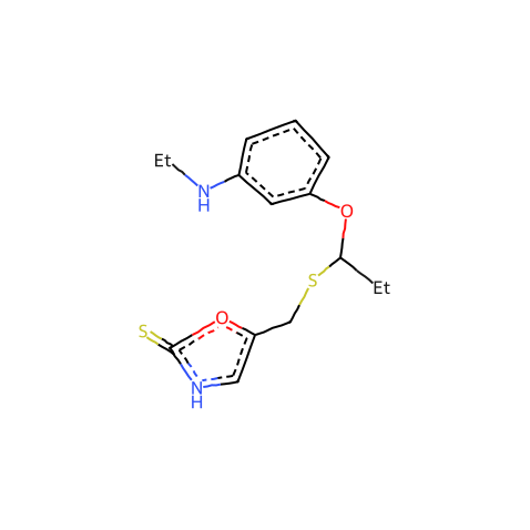 CCNc1cccc(OC(CC)SCc2c[nH]c(=S)o2)c1